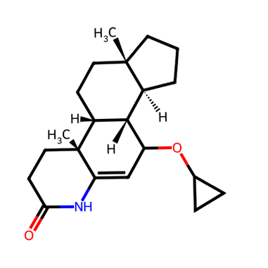 C[C@@]12CCC[C@H]1[C@@H]1C(OC3CC3)C=C3NC(=O)CC[C@]3(C)[C@@H]1CC2